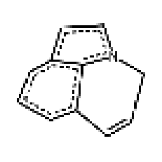 C1=Cc2cccc3ccn(c23)C1